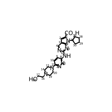 O=C(O)c1cc2cnc(Nc3ccc(N4CCN(CCO)CC4)nn3)nc2n1C1CCCC1